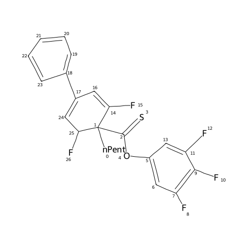 CCCCCC1(C(=S)Oc2cc(F)c(F)c(F)c2)C(F)=CC(c2ccccc2)=CC1F